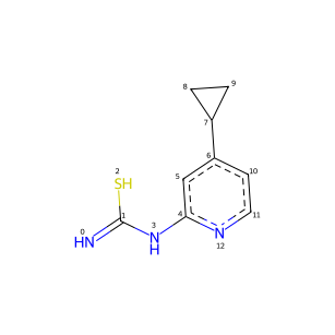 N=C(S)Nc1cc(C2CC2)ccn1